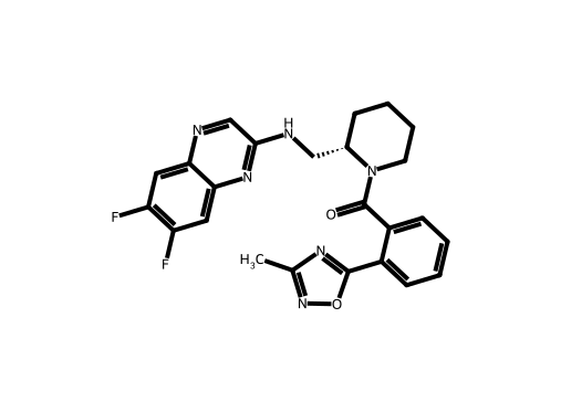 Cc1noc(-c2ccccc2C(=O)N2CCCC[C@H]2CNc2cnc3cc(F)c(F)cc3n2)n1